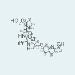 CC(NC(=O)C(N[C@H](C(F)(F)F)C(C)(C)/C=C/c1ccc2ccc([C@@H](C)O)nc2c1)C(C)C)C(=O)N1CCCC(C(=O)O)N1